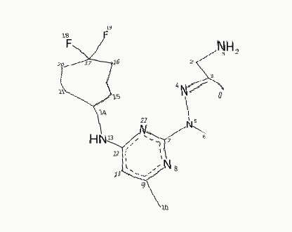 C/C(CN)=N\N(C)c1nc(C)cc(NC2CCC(F)(F)CC2)n1